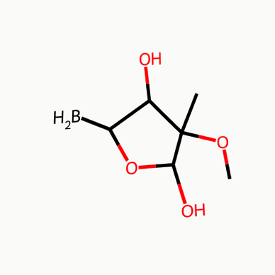 BC1OC(O)C(C)(OC)C1O